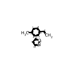 C=Cc1ccc(C)cc1.c1cnoc1